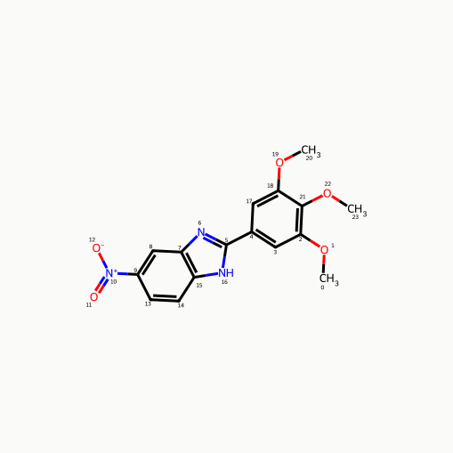 COc1cc(-c2nc3cc([N+](=O)[O-])ccc3[nH]2)cc(OC)c1OC